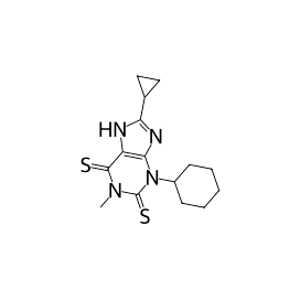 Cn1c(=S)c2[nH]c(C3CC3)nc2n(C2CCCCC2)c1=S